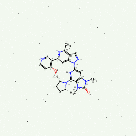 COc1ccncc1-c1cc2c(cnn2-c2cc3c(c(N4CCCC4)n2)n(C)c(=O)n3C)c(C)n1